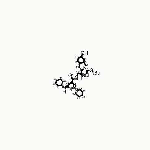 CC(C)(C)OC(=O)N1Cc2cc(O)ccc2C[C@H]1[C@H](O)CNC(=O)c1cc(NC2CCCCC2)nc(N2CCCCC2)n1